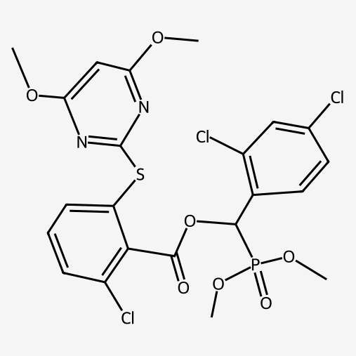 COc1cc(OC)nc(Sc2cccc(Cl)c2C(=O)OC(c2ccc(Cl)cc2Cl)P(=O)(OC)OC)n1